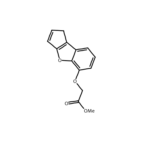 COC(=O)COc1cccc2c3c(oc12)C=CC3